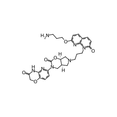 NCCCOc1ccc2ccc(=O)n(CCCN3C[C@H]4CN(c5ccc6c(n5)NC(=O)CO6)C(=O)O[C@H]4C3)c2n1